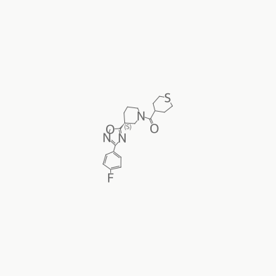 O=C(C1CCSCC1)N1CCC[C@H](c2nc(-c3ccc(F)cc3)no2)C1